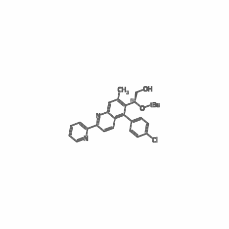 Cc1cc2nc(-c3ccccn3)ccc2c(-c2ccc(Cl)cc2)c1[C@@H](CO)OC(C)(C)C